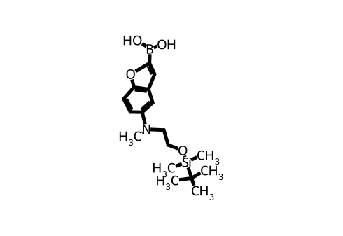 CN(CCO[Si](C)(C)C(C)(C)C)c1ccc2oc(B(O)O)cc2c1